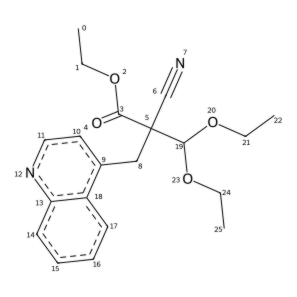 CCOC(=O)C(C#N)(Cc1ccnc2ccccc12)C(OCC)OCC